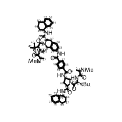 CN[C@@H](C)C(=O)N[C@H](C(=O)N1C[C@@H](NC(=O)c2ccc(C(=O)Nc3ccc4c(c3)CN(C(=O)[C@@H](NC(=O)[C@H](C)NC)C(C)(C)SC)[C@H](C(=O)N[C@@H]3CCCc5ccccc53)C4)cc2)C[C@H]1C(=O)N[C@@H]1CCCc2ccccc21)C(C)(C)C